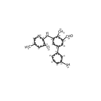 Cc1cnc(Nc2cc(-c3cccc(S)c3)cc(C=O)c2C)c(Cl)c1